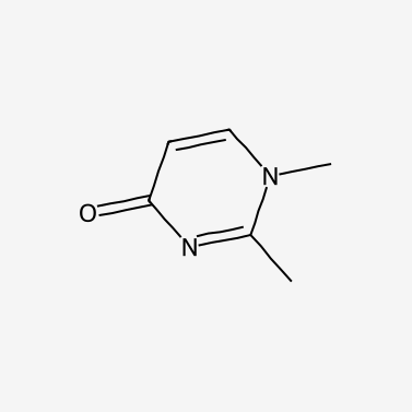 Cc1nc(=O)ccn1C